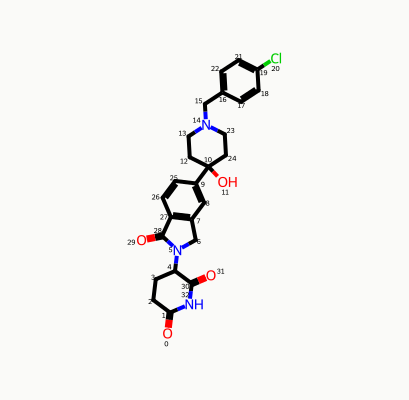 O=C1CCC(N2Cc3cc(C4(O)CCN(Cc5ccc(Cl)cc5)CC4)ccc3C2=O)C(=O)N1